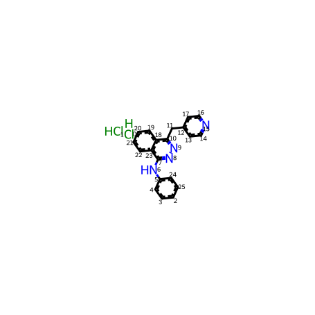 Cl.Cl.c1ccc(Nc2nnc(Cc3ccncc3)c3ccccc23)cc1